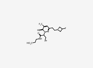 B=C1C(C(F)(F)F)=CC(CCN2CC(F)C2)=NN1C(CC(C)C)C(=O)NCCC(=O)O